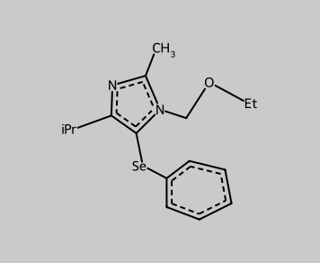 CCOCn1c(C)nc(C(C)C)c1[Se]c1ccccc1